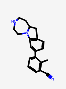 Cc1c(C#N)cccc1-c1ccc2c(c1)N1CCNCCC1C2